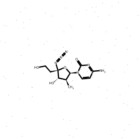 C[C@@H]1[C@H](n2ccc(N)nc2=O)O[C@@](CCO)(N=[N+]=[N-])[C@H]1O